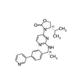 CC(C)[C@H]1COC(=O)N1c1ccnc(N[C@H](C)c2ccc(-c3cccnc3)cc2)n1